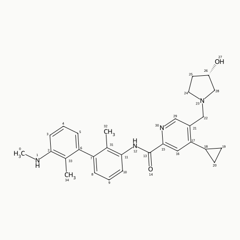 CNc1cccc(-c2cccc(NC(=O)c3cc(C4CC4)c(CN4CC[C@H](O)C4)cn3)c2C)c1C